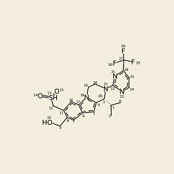 CC(C)[C@@H]1c2cc3cc(CO)c(C[SH](=O)=O)cc3n2CCN1c1nccc(C(F)(F)F)n1